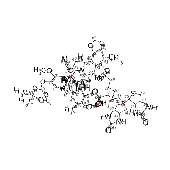 COc1cc2c(cc1OC(=O)OC(C)(C)C)CCN[C@]21CS[C@@H]2c3c(OC(=O)CCCC[C@@H]4SCC5NC(=O)NC54)c(C)c4c(c3[C@H](COC1=O)N1C2[C@@H]2c3c(cc(C)c(OC)c3OC(=O)CCCCC3SCC5NC(=O)NC53)C[C@@H]([C@@H]1C#N)N2C)OCO4